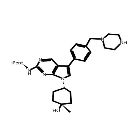 CCC[C@H](C)Nc1ncc2c(-c3ccc(CN4CCNCC4)cc3)cn([C@H]3CC[C@@](C)(O)CC3)c2n1